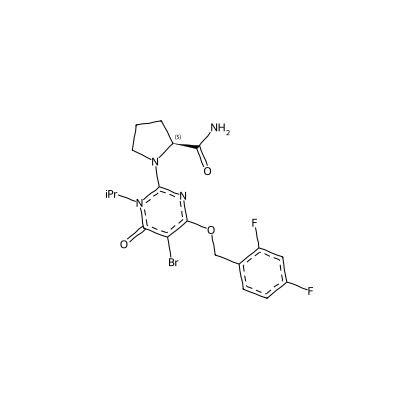 CC(C)n1c(N2CCC[C@H]2C(N)=O)nc(OCc2ccc(F)cc2F)c(Br)c1=O